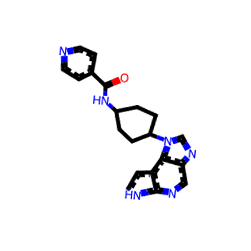 O=C(NC1CCC(n2cnc3cnc4[nH]ccc4c32)CC1)c1ccncc1